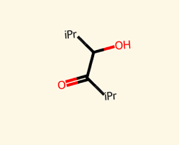 CC(C)C(=O)C(O)C(C)C